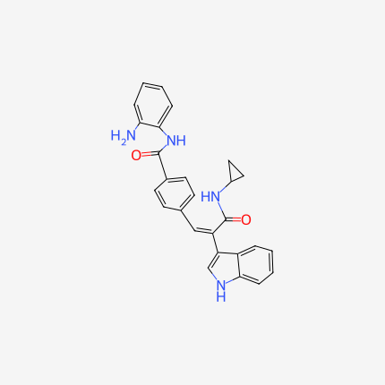 Nc1ccccc1NC(=O)c1ccc(C=C(C(=O)NC2CC2)c2c[nH]c3ccccc23)cc1